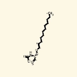 CCCCCCCCCCCCOON(C=O)NC(=O)Cl